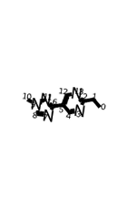 CCc1ncc(-c2ncn(C)n2)cn1